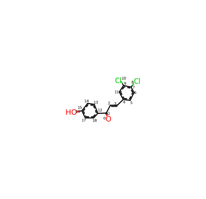 O=C(C=Cc1ccc(Cl)c(Cl)c1)c1ccc(O)cc1